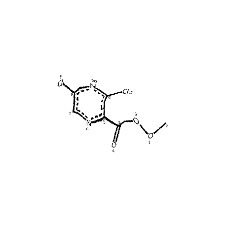 COOC(=O)c1ncc(Cl)nc1Cl